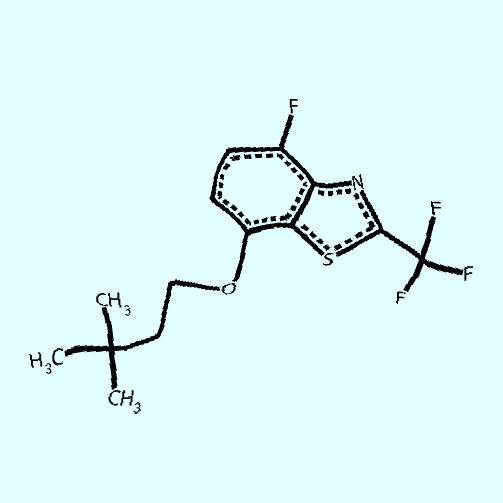 CC(C)(C)CCOc1ccc(F)c2nc(C(F)(F)F)sc12